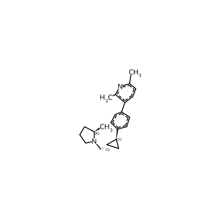 Cc1ccc(-c2ccc([C@H]3C[C@@H]3CN3CCC[C@H]3C)cc2)c(C)n1